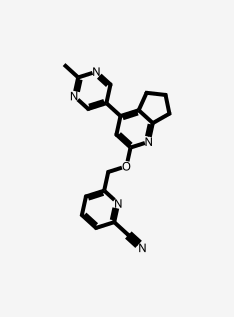 Cc1ncc(-c2cc(OCc3cccc(C#N)n3)nc3c2CCC3)cn1